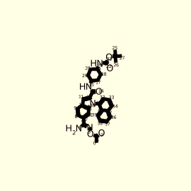 CC(=O)ON=C(N)c1ccc2cc(C(=O)NC3CCC(NC(=O)OC(C)(C)C)CC3)n(-c3cccc4ccccc34)c2c1